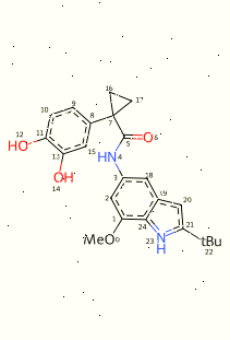 COc1cc(NC(=O)C2(c3ccc(O)c(O)c3)CC2)cc2cc(C(C)(C)C)[nH]c12